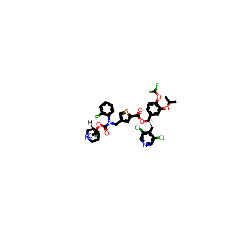 CC(C)Oc1cc([C@H](Cc2c(Cl)cncc2Cl)OC(=O)c2cc(CN(C(=O)O[C@H]3CN4CCC3CC4)c3ccccc3F)cs2)ccc1OC(F)F